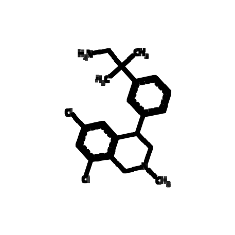 CN1Cc2c(Cl)cc(Cl)cc2C(c2cccc(C(C)(C)CN)c2)C1